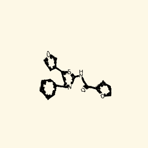 O=C(Nc1nc(-c2ccccc2)c(-c2ccoc2)s1)c1ccco1